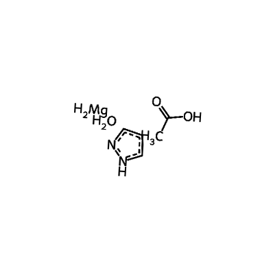 CC(=O)O.O.[MgH2].c1cn[nH]c1